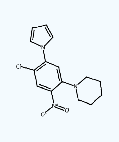 O=[N+]([O-])c1cc(Cl)c(-n2cccc2)cc1N1CCCCC1